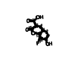 O=C(O)c1cc2ccc(O)c(F)c2oc1=O